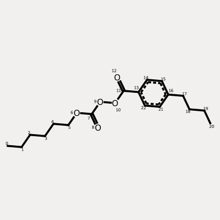 CCCCCCOC(=O)OOC(=O)c1ccc(CCCC)cc1